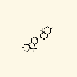 CC1(C)C2=C(CCCC2)C2CC=C(C3CCC4CC(I)CC[C@H]4C3)CC21